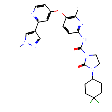 Cc1nc(NC(=O)N2CCN(C3CCC(F)(F)CC3)C2=O)ccc1Oc1ccnc(-c2cnn(C)c2)c1